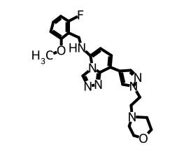 COc1cccc(F)c1CNc1ccc(-c2cnn(CCN3CCOCC3)c2)c2nncn12